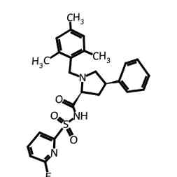 Cc1cc(C)c(CN2C[C@@H](c3ccccc3)C[C@H]2C(=O)NS(=O)(=O)c2cccc(F)n2)c(C)c1